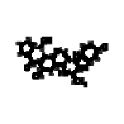 C[C@@H](Nc1ncnc2cc(C(=O)N3CCC[C@@H]3CO)c(Cl)cc12)c1nc2cc(Cl)ccc2[nH]1